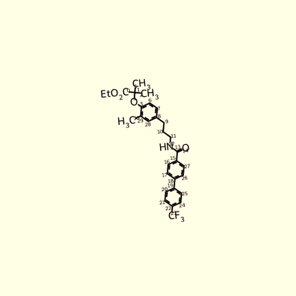 CCOC(=O)C(C)(C)Oc1ccc(CCCNC(=O)c2ccc(-c3ccc(C(F)(F)F)cc3)cc2)cc1C